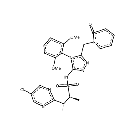 COc1cccc(OC)c1-n1c(Cn2ccccc2=O)nnc1NS(=O)(=O)[C@@H](C)[C@H](C)c1ncc(Cl)cn1